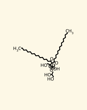 CCCCCCCCCCCCCCCC(=O)C(OP(=O)(O)OCC(O)CO)(C(=O)CCCCCCCCCCCCCCC)C(O)CO